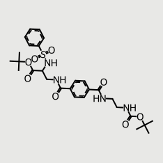 CC(C)(C)OC(=O)NCCNC(=O)c1ccc(C(=O)NCC(NS(=O)(=O)c2ccccc2)C(=O)OC(C)(C)C)cc1